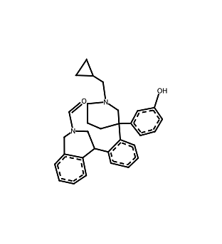 O=CN1Cc2ccccc2C(c2ccccc2C2(c3cccc(O)c3)CCCN(CC3CC3)C2)C1